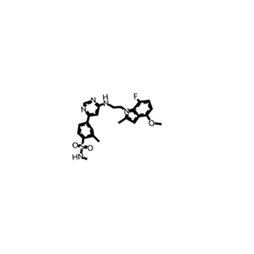 CNS(=O)(=O)c1ccc(-c2cc(NCCn3c(C)cc4c(OC)ccc(F)c43)ncn2)cc1C